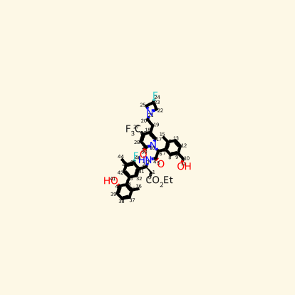 CCOC(=O)C[C@H](NC(=O)C(c1cc(CO)ccc1C)n1cc(CCN2CC(F)C2)c(C(F)(F)F)cc1=O)c1cc(-c2c(C)cccc2O)cc(C)c1F